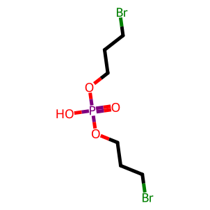 O=P(O)(OCCCBr)OCCCBr